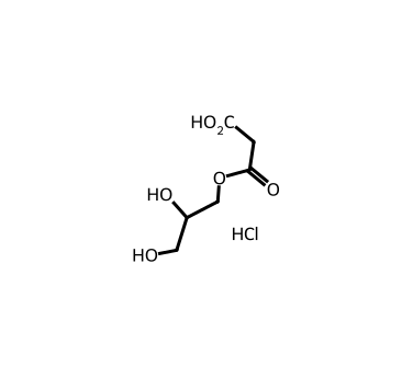 Cl.O=C(O)CC(=O)OCC(O)CO